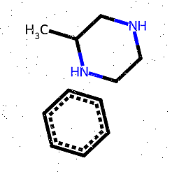 CC1CNCCN1.c1ccccc1